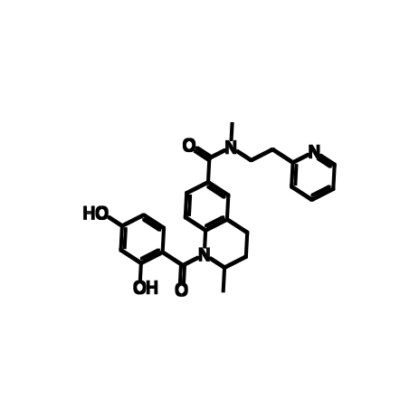 CC1CCc2cc(C(=O)N(C)CCc3ccccn3)ccc2N1C(=O)c1ccc(O)cc1O